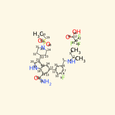 CCC(C)NCc1cc(F)cc(-c2cc(C(N)=O)c3[nH]cc(C4CCN(S(=O)(=O)CC)CC4)c3c2)c1.O=C(O)C(F)(F)F